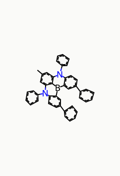 Cc1cc2c3c(c1)N(c1ccccc1)c1ccc(-c4ccccc4)cc1B3c1cc(-c3ccccc3)ccc1N2c1ccccc1